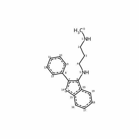 CNCCCNc1c(-c2ccccc2)sc2ccccc12